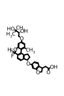 Cc1cc(OC[C@@H](O)C(C)(C)O)cc(C)c1-c1c(C(F)(F)F)ccc2c1CC[C@@H]2Oc1ccc2c(c1)OCC2CC(=O)O